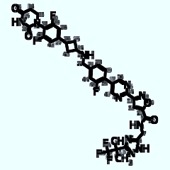 CC(C)(c1n[nH]c(CNC(=O)c2cc(-c3ncc(-c4ccc(CNC5CC(c6cc(F)c(N7CCC(=O)NC7=O)c(F)c6)C5)cc4F)cn3)no2)n1)C(F)(F)F